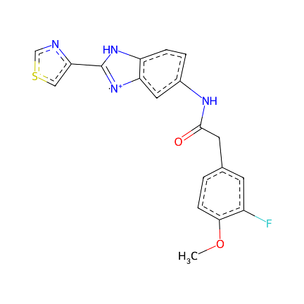 COc1ccc(CC(=O)Nc2ccc3c(c2)[N+]=C(c2cscn2)N3)cc1F